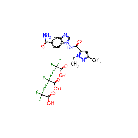 CCn1nc(C)cc1C(=O)Nn1cnc2cc(C(N)=O)ccc21.O=C(O)C(F)(F)F.O=C(O)C(F)(F)F.O=C(O)C(F)(F)F